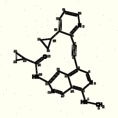 CNc1ncc(C#Cc2ncccc2C2CC2)c2cc(NC(=O)C3CC3)ncc12